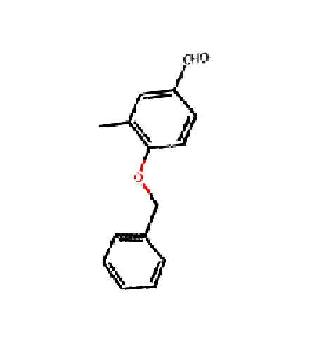 Cc1cc([C]=O)ccc1OCc1ccccc1